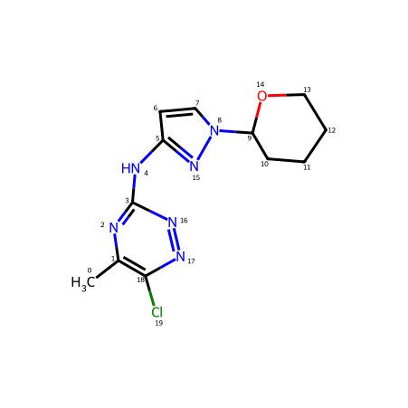 Cc1nc(Nc2ccn(C3CCCCO3)n2)nnc1Cl